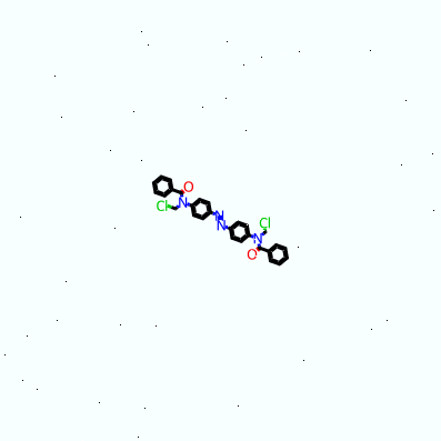 O=C(c1ccccc1)N(CCl)c1ccc(N=Nc2ccc(N(CCl)C(=O)c3ccccc3)cc2)cc1